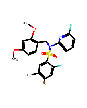 COc1ccc(CN(c2cccc(F)n2)S(=O)(=O)c2cc(C)c(Br)cc2F)c(OC)c1